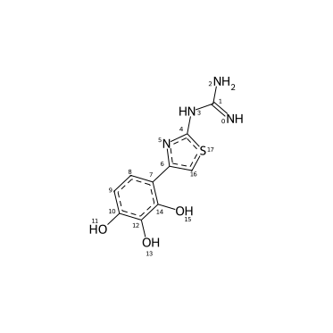 N=C(N)Nc1nc(-c2ccc(O)c(O)c2O)cs1